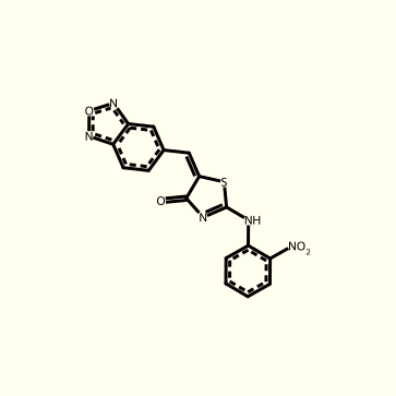 O=C1N=C(Nc2ccccc2[N+](=O)[O-])SC1=Cc1ccc2nonc2c1